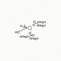 CCCCCCCC(CCCCCCC)C(=O)OC[C@@H]1CC(N(C)CCCCO)C[C@H](COC(=O)C(CCCCCCC)CCCCCCC)C1